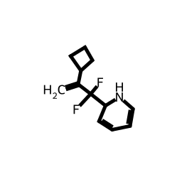 C=C(C1CCC1)C(F)(F)C1C=CC=CN1